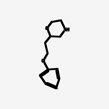 [c]1ccc(OCCC2CNCCO2)cc1